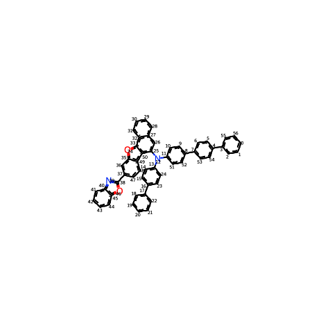 c1ccc(-c2ccc(-c3ccc(N(c4ccc(-c5ccccc5)cc4)c4cc5ccccc5c5oc6cc(-c7nc8ccccc8o7)ccc6c45)cc3)cc2)cc1